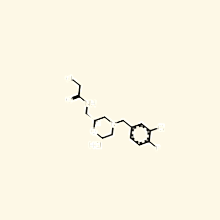 Cl.O=C(CCl)NC[C@H]1CN(Cc2ccc(F)c(Cl)c2)CCO1